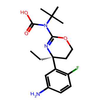 CC[C@@]1(c2cc(N)ccc2F)CCOC(N(C(=O)O)C(C)(C)C)=N1